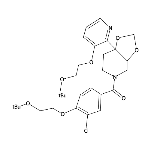 CC(C)(C)OCCOc1ccc(C(=O)N2CCC3(c4ncccc4OCCOC(C)(C)C)OCOC3C2)cc1Cl